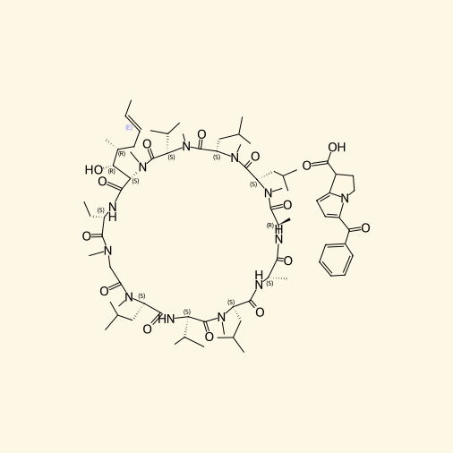 C/C=C/C[C@@H](C)[C@@H](O)[C@H]1C(=O)N[C@@H](CC)C(=O)N(C)CC(=O)N(C)[C@@H](CC(C)C)C(=O)N[C@@H](C(C)C)C(=O)N(C)[C@@H](CC(C)C)C(=O)N[C@@H](C)C(=O)N[C@H](C)C(=O)N(C)[C@@H](CC(C)C)C(=O)N(C)[C@@H](CC(C)C)C(=O)N(C)[C@@H](C(C)C)C(=O)N1C.O=C(c1ccccc1)c1ccc2n1CCC2C(=O)O